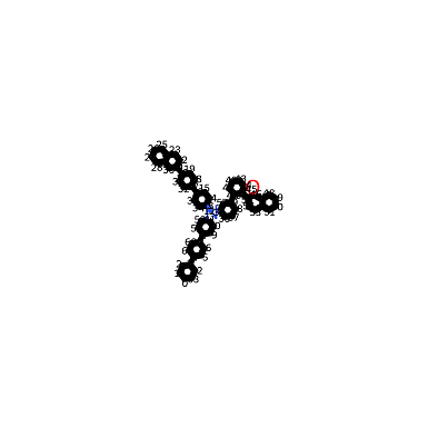 c1ccc(-c2ccc(-c3ccc(N(c4ccc(-c5ccc(-c6ccc7ccccc7c6)cc5)cc4)c4cccc(-c5cccc6oc7c8ccccc8ccc7c56)c4)cc3)cc2)cc1